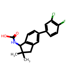 CC1(C)Cc2cc(-c3ccc(F)c(Cl)c3)ccc2C1NC(=O)O